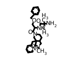 CN1CC2CCN(C(=O)C(COCc3ccccc3)NC(=O)C(C)(C)N)CC2(Cc2ccccn2)C1=O